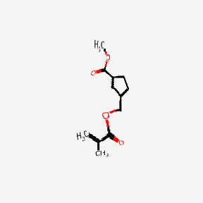 C=C(C)C(=O)OCC1CCC(C(=O)OC)C1